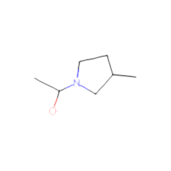 CC1CCN(C(C)[O])C1